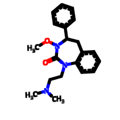 CON1C(=O)N(CCN(C)C)c2ccccc2CC1c1ccccc1